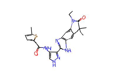 CCN1C(=O)C(C)(C)c2cc3[nH]c(-c4n[nH]cc4NC(=O)c4ccc(C)s4)nc3cc21